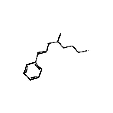 [CH2]CCCC(C)[CH]C=Cc1ccccc1